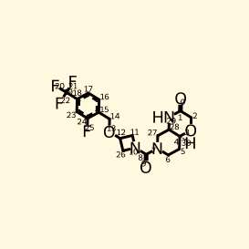 O=C1CO[C@H]2CCN(C(=O)N3CC(OCc4ccc(C(F)(F)F)cc4F)C3)CC2N1